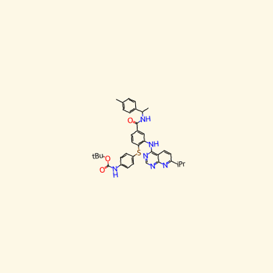 Cc1ccc(C(C)NC(=O)c2ccc(Sc3ccc(NC(=O)OC(C)(C)C)cc3)c(Nc3ncnc4nc(C(C)C)ccc34)c2)cc1